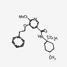 COc1ncc(C(=O)N[C@]2(C(=O)O)CC[C@@H](C)CC2)cc1OCCc1ccccc1